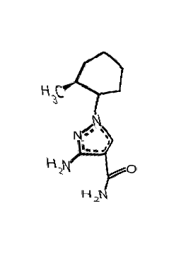 C[C@H]1CCCCC1n1cc(C(N)=O)c(N)n1